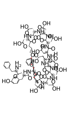 C#CCOCCOCCOCCCC(=O)[C@H](CC(=O)O)NC(=O)[C@H](CC(=O)O)NC(=O)[C@H](CC(=O)O)NC(=O)[C@H](CC(=O)O)NC(=O)[C@H](CC(=O)O)NC(=O)[C@H](CC(=O)O)NC(=O)[C@H](CC(=O)O)NC(=O)[C@H](CC(=O)O)NC(=O)[C@H](CC(=O)O)NC(=O)[C@H](CC(=O)O)CC(=O)[C@H](Cc1ccccc1)NC(=O)[C@@H](CC(=O)[C@@H](N)Cc1ccccc1)Cc1ccc(O)cc1